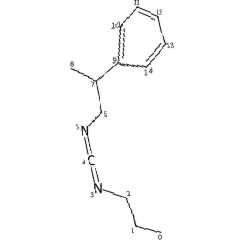 CCCN=C=NCC(C)c1ccccc1